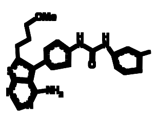 COCCCc1sc2ncnc(N)c2c1-c1ccc(NC(=O)Nc2cccc(C)c2)cc1